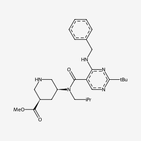 COC(=O)[C@H]1CNC[C@@H](N(CC(C)C)C(=O)c2cnc(C(C)(C)C)nc2NCc2ccccc2)C1